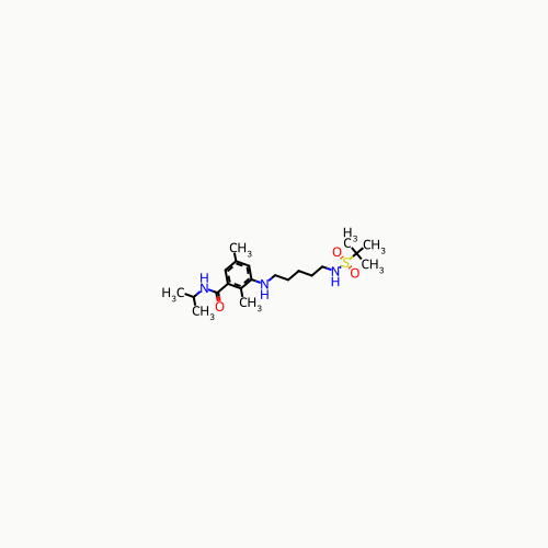 Cc1cc(NCCCCCNS(=O)(=O)C(C)(C)C)c(C)c(C(=O)NC(C)C)c1